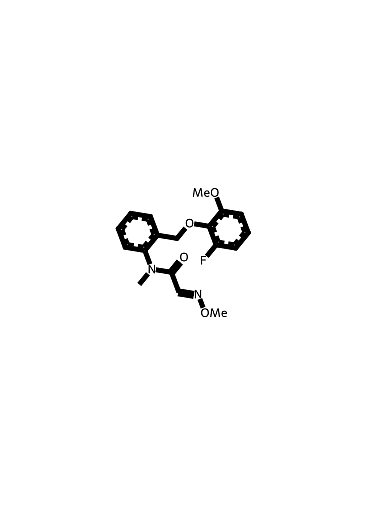 CON=CC(=O)N(C)c1ccccc1COc1c(F)cccc1OC